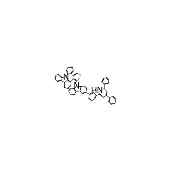 C1=CC2=C(CC1)C1C=C(c3cccc(C4=CC(c5ccccc5)=CC(c5ccccc5)N4)c3)C=CC1N2C1=C(C2=C3C(CC=C2)c2ccccc2N3c2ccccc2)C=CCC1